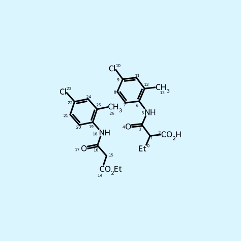 CCC(C(=O)O)C(=O)Nc1ccc(Cl)cc1C.CCOC(=O)CC(=O)Nc1ccc(Cl)cc1C